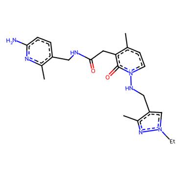 CCn1cc(CNn2ccc(C)c(CC(=O)NCc3ccc(N)nc3C)c2=O)c(C)n1